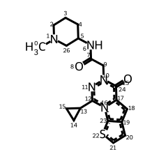 CN1CCCC(NC(=O)Cn2nc(C3CC3)n3c(cc4ccsc43)c2=O)C1